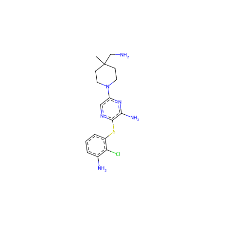 CC1(CN)CCN(c2cnc(Sc3cccc(N)c3Cl)c(N)n2)CC1